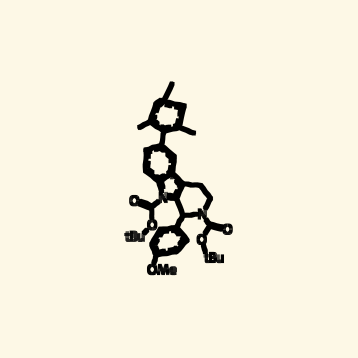 COc1ccc(C2c3c(c4cc(-c5c(C)cc(C)cc5C)ccc4n3C(=O)OC(C)(C)C)CCN2C(=O)OC(C)(C)C)cc1